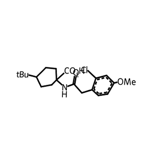 COc1ccc(CC(=O)NC2(C(=O)O)CCC(C(C)(C)C)CC2)c(Cl)c1